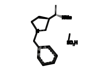 CN[C@@H](C)[C@@H]1CCN(Cc2ccccc2)C1.CS(=O)(=O)O